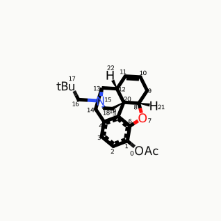 CC(=O)Oc1ccc2c3c1O[C@H]1CC=C[C@H]4C(C2)N(CC(C)(C)C)CC[C@]314